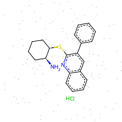 Cl.N[C@H]1CCCC[C@H]1Sc1nc2ccccc2cc1-c1ccccc1